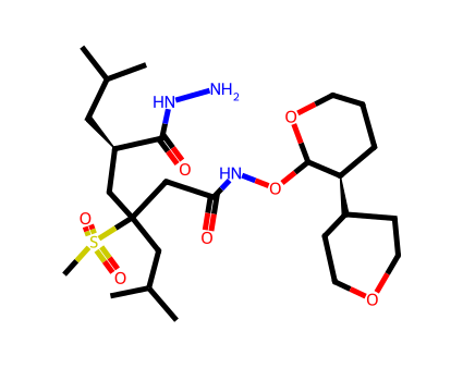 CC(C)C[C@H](CC(CC(=O)NOC1OCCC[C@H]1C1CCOCC1)(CC(C)C)S(C)(=O)=O)C(=O)NN